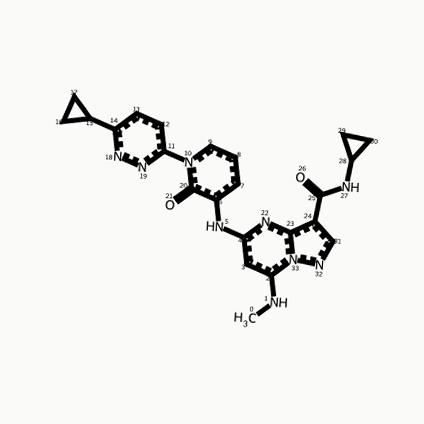 CNc1cc(Nc2cccn(-c3ccc(C4CC4)nn3)c2=O)nc2c(C(=O)NC3CC3)cnn12